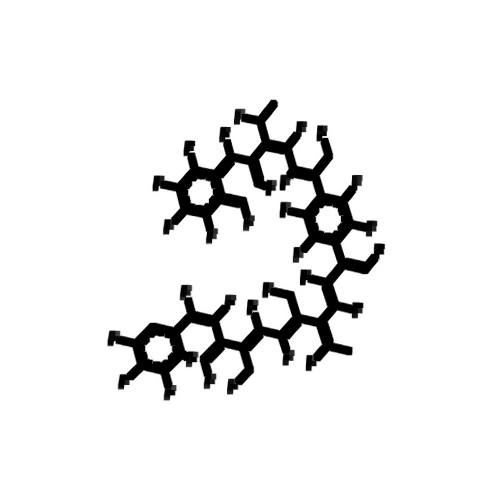 C/C(F)=C(C(\F)=C(F)\C(=C\F)c1c(F)c(F)c(/C(CF)=C(F)/C(F)=C(C(=C/F)\C(F)=c2\c(F)c(F)c(F)c(F)\c2=C/F)/C(C)F)c(F)c1F)/C(CF)=C(F)/C(F)=C(CF)/C(=C\F)C(/F)=C(/F)c1cc(F)c(F)c(F)c1F